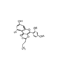 CCCC(=O)Oc1c(-c2ccc(O)cc2O)oc2cc(O)cc(O)c2c1=O